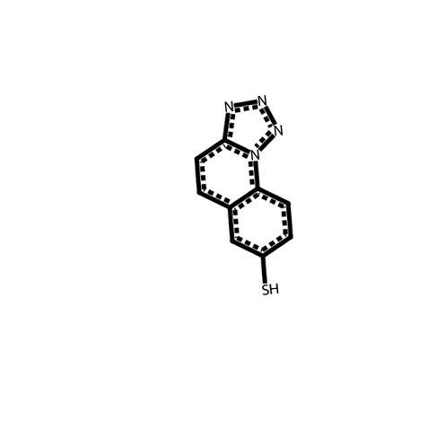 Sc1ccc2c(ccc3nnnn32)c1